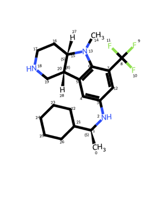 C[C@H](Nc1cc2c(c(C(F)(F)F)c1)N(C)[C@H]1CCNC[C@@H]21)C1CCCCC1